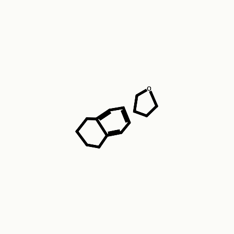 C1CCOC1.c1ccc2c(c1)CCCC2